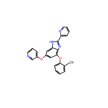 N#Cc1ccccc1Oc1cc(Oc2cccnc2)cc2[nH]c(-c3ccccn3)nc12